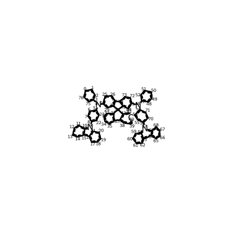 c1ccc(N(c2ccc(-n3c4ccccc4c4ccccc43)cc2)c2ccc3c(c2)C2(c4ccccc4-c4ccccc42)c2cc(N(c4ccccc4)c4ccc(-n5c6ccccc6c6ccccc65)cc4)ccc2-3)cc1